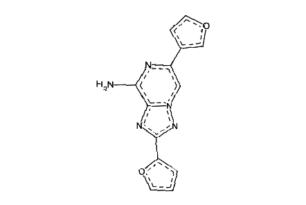 Nc1nc(-c2ccoc2)cn2nc(-c3ccco3)nc12